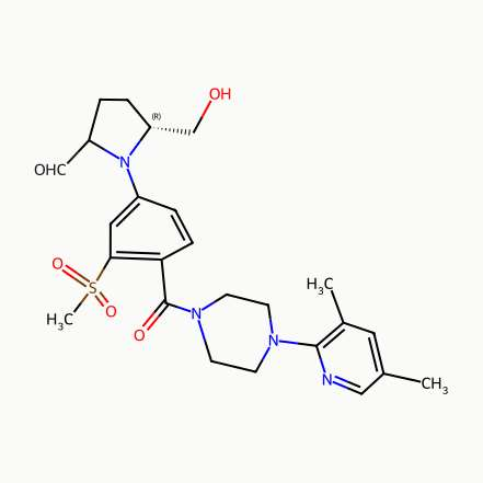 Cc1cnc(N2CCN(C(=O)c3ccc(N4C(C=O)CC[C@@H]4CO)cc3S(C)(=O)=O)CC2)c(C)c1